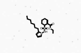 CCCCCCCc1cccn1NS(=O)(=O)C1CCCC=C1C(=O)OCC